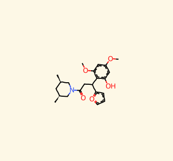 COc1cc(O)c(C(CC(=O)N2C[C@H](C)C[C@H](C)C2)c2ccco2)c(OC)c1